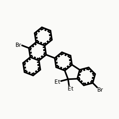 CCC1(CC)c2cc(Br)ccc2-c2ccc(-c3c4ccccc4c(Br)c4ccccc34)cc21